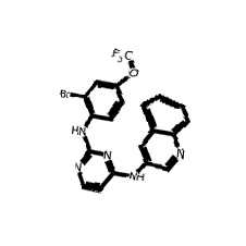 FC(F)(F)Oc1ccc(Nc2nccc(Nc3cnc4ccccc4c3)n2)c(Br)c1